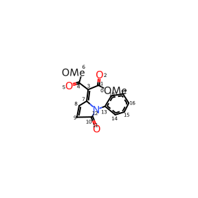 COC(=O)C(C(=O)OC)=C1C=CC(=O)N1c1ccccc1